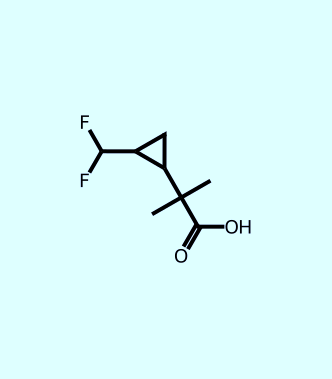 CC(C)(C(=O)O)C1CC1C(F)F